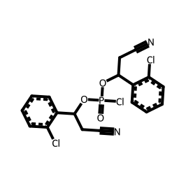 N#CCC(OP(=O)(Cl)OC(CC#N)c1ccccc1Cl)c1ccccc1Cl